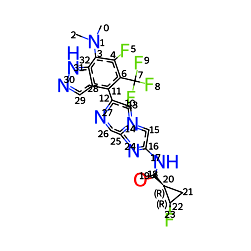 CN(C)c1c(F)c(C(F)(F)F)c(-c2cn3cc(NC(=O)[C@H]4C[C@H]4F)nc3cn2)c2cn[nH]c12